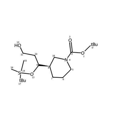 CC(C)(C)OC(=O)N1CCC[C@@H](C(CCO)O[Si](C)(C)C(C)(C)C)C1